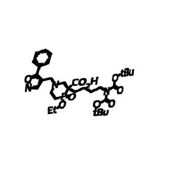 CCOP1(=O)CCN(Cc2cnoc2-c2ccccc2)CC1(CCCCN(C(=O)OC(C)(C)C)C(=O)OC(C)(C)C)C(=O)O